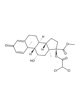 COC(=O)[C@@]1(OC(=O)C(Cl)Cl)CC[C@H]2[C@@H]3CCC4=CC(=O)C=C[C@]4(C)[C@H]3[C@@H](O)C[C@@]21C